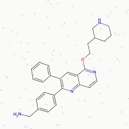 NCc1ccc(-c2nc3ccnc(OCCC4CCCNC4)c3cc2-c2ccccc2)cc1